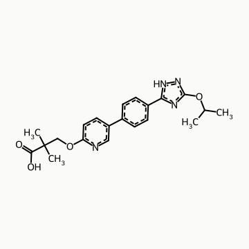 CC(C)Oc1n[nH]c(-c2ccc(-c3ccc(OCC(C)(C)C(=O)O)nc3)cc2)n1